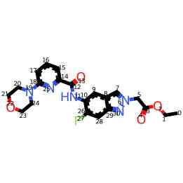 CCOC(=O)Cn1cc2cc(NC(=O)c3cccc(N4CCOCC4)n3)c(F)cc2n1